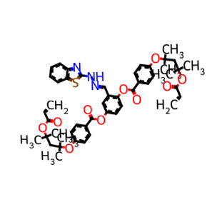 C=CC(=O)OC(C)(C)CC(C)(C)Oc1ccc(C(=O)Oc2ccc(OC(=O)c3ccc(OC(C)(C)CC(C)(C)OC(=O)C=C)cc3)c(/C=N/Nc3nc4ccccc4s3)c2)cc1